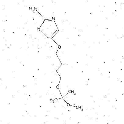 COC(C)(C)OCCCCOc1cnc(N)nc1